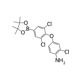 CC1(C)OB(c2cc(Cl)c(Oc3ccc(N)c(Cl)c3)c(Cl)c2)OC1(C)C